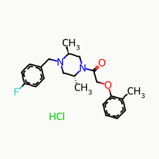 Cc1ccccc1OCC(=O)N1C[C@H](C)N(Cc2ccc(F)cc2)C[C@H]1C.Cl